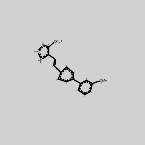 COc1cccc(-c2ccc(C=Cc3[nH]nnc3C(=O)O)cc2)c1